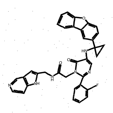 O=C(Cn1c(-c2ccccc2F)ncc(NC2(c3ccc4oc5ccccc5c4c3)CC2)c1=O)NCc1cc2cnccc2[nH]1